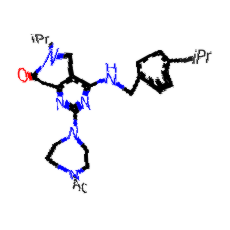 CC(=O)N1CCN(c2nc(NCc3ccc(C(C)C)cc3)c3c(n2)C(=O)N(C(C)C)C3)CC1